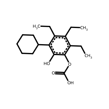 CCc1c(CC)c(OC(=O)O)c(O)c(C2CCCCC2)c1CC